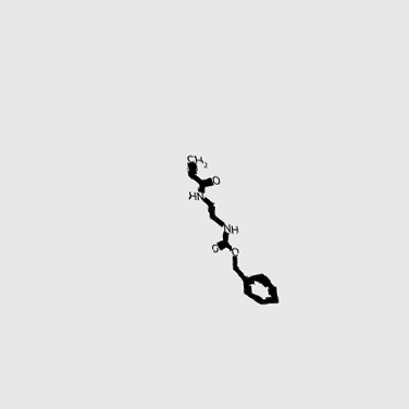 C=CC(=O)NCCNC(=O)OCc1ccccc1